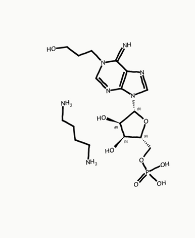 N=c1c2ncn([C@@H]3O[C@H](COP(=O)(O)O)[C@@H](O)[C@H]3O)c2ncn1CCCO.NCCCCN